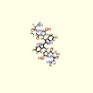 CC[C@H](NC(=O)[C@H](C)NC)C(=O)N1CC(O)C[C@H]1Cc1c(-c2[nH]c3cc(F)ccc3c2C[C@@H]2CC(O)CN2C(=O)[C@H](CC)NC(=O)[C@H](C)NC)[nH]c2cc(F)ccc12